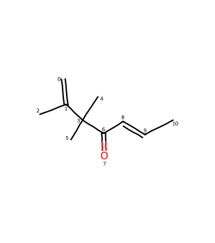 C=C(C)C(C)(C)C(=O)C=CC